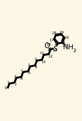 CCCCCCCCCCCCCC(=O)Sc1ccccc1N